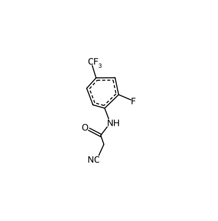 N#CCC(=O)Nc1ccc(C(F)(F)F)cc1F